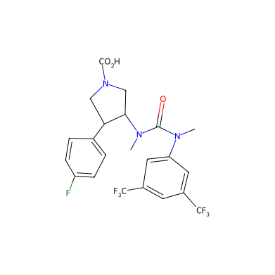 CN(C(=O)N(C)C1CN(C(=O)O)CC1c1ccc(F)cc1)c1cc(C(F)(F)F)cc(C(F)(F)F)c1